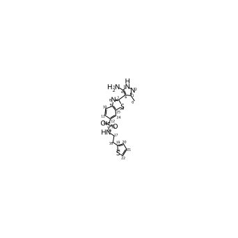 Cc1n[nH]c(N)c1-c1nc2ccc(S(=O)(=O)NCCc3cccs3)cc2s1